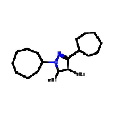 CCCCC1C(C2CCCCCC2)=NN(C2CCCCCCC2)C1CCCC